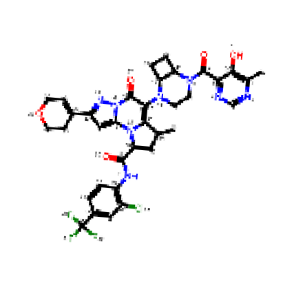 Cc1ncnc(C(=O)N2CCN(c3c4n(c5cc(C6=CCOCC6)nn5c3=O)C(C(=O)Nc3ccc(C(F)(F)F)cc3Cl)CC4C)C3CCC32)c1O